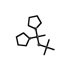 C[Si](C)(C)O[Si](C)(N1CCCC1)N1CCCC1